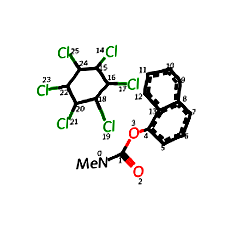 CNC(=O)Oc1cccc2ccccc12.ClC1C(Cl)C(Cl)C(Cl)C(Cl)C1Cl